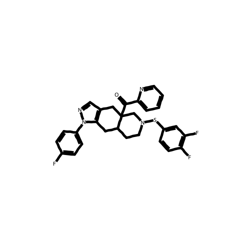 O=C(c1ccccn1)C12Cc3cnn(-c4ccc(F)cc4)c3CC1CCN(Sc1ccc(F)c(F)c1)C2